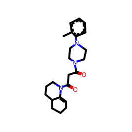 Cc1ccccc1N1CCN(C(=O)CC(=O)N2CCCC3CCCC=C32)CC1